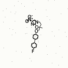 CC1(COc2ccc(-c3ccc(F)cc3)cc2)CCn2cc([N+](=O)[O-])nc2O1